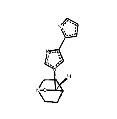 c1csc(-c2cn([C@H]3CN4CCC3CC4)cn2)c1